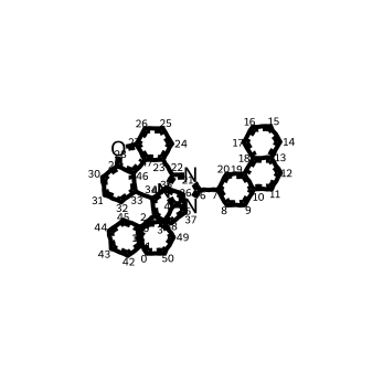 c1ccc(-c2nc(-c3ccc4ccc5ccccc5c4c3)nc(-c3cccc4oc5cccc(-c6ccccc6-c6ccccc6)c5c34)n2)cc1